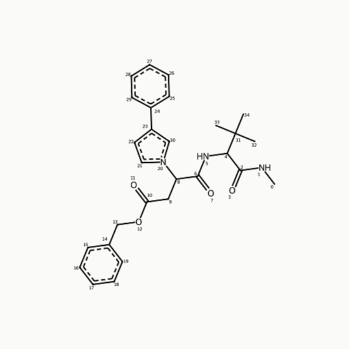 CNC(=O)C(NC(=O)C(CC(=O)OCc1ccccc1)n1ccc(-c2ccccc2)c1)C(C)(C)C